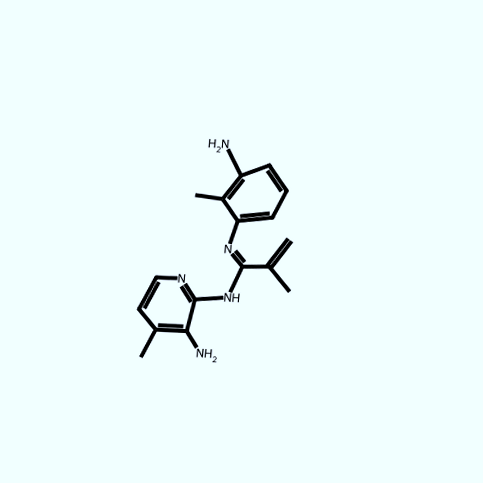 C=C(C)/C(=N\c1cccc(N)c1C)Nc1nccc(C)c1N